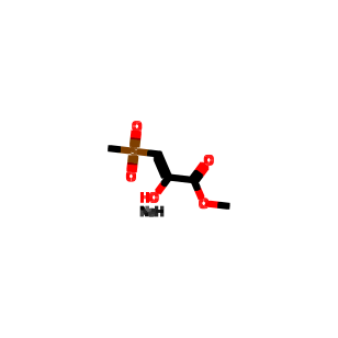 COC(=O)C(O)=CS(C)(=O)=O.[NaH]